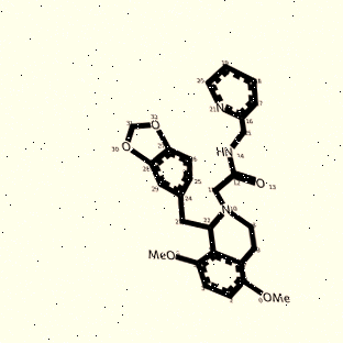 COc1ccc(OC)c2c1CCN(CC(=O)NCc1ccccn1)C2Cc1ccc2c(c1)OCO2